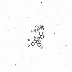 O=C(O)N[C@H](C(=O)Nc1cccc(F)c1CCC1CNC2CCCS(O)(O)N1C2)[C@@H](c1ccc(F)cc1)c1ccc(C2CC2)cc1